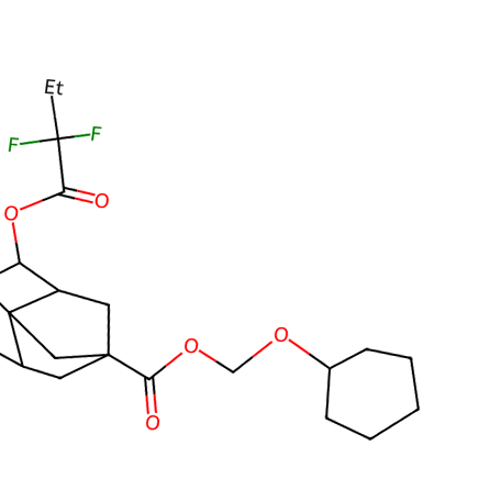 CCC(F)(F)C(=O)OC1C2CC3CC1CC(C(=O)OCOC1CCCCC1)(C3)C2